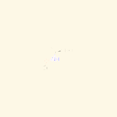 CCON[C@@H](C)[C]=O